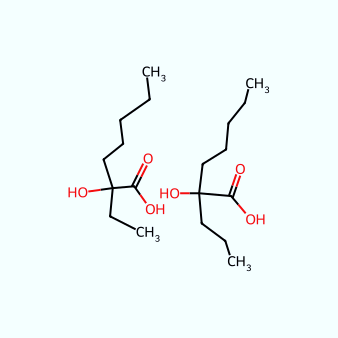 CCCCCC(O)(CC)C(=O)O.CCCCCC(O)(CCC)C(=O)O